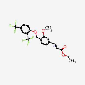 CCOC(=O)/C=C/c1ccc(COc2ccc(C(F)(F)F)cc2C(F)(F)F)c(OC)c1